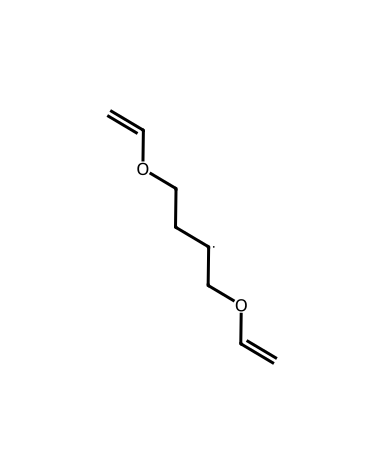 C=COC[CH]CCOC=C